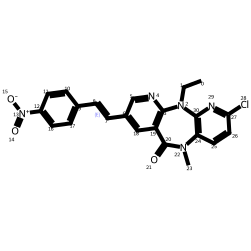 CCN1c2ncc(/C=C/c3ccc([N+](=O)[O-])cc3)cc2C(=O)N(C)c2ccc(Cl)nc21